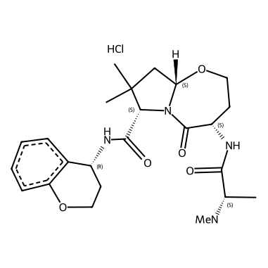 CN[C@@H](C)C(=O)N[C@H]1CCO[C@H]2CC(C)(C)[C@@H](C(=O)N[C@@H]3CCOc4ccccc43)N2C1=O.Cl